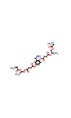 C=CC(=O)OCC(C)OC(=O)CCC(=O)Oc1ccc(OC(=O)CCC(=O)OCC(C)OC(=O)C=C)cc1C=N